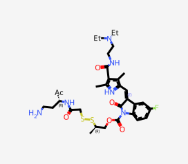 CCN(CC)CCNC(=O)c1c(C)[nH]c(/C=C2\C(=O)N(C(=O)OC[C@@H](C)SSCC(=O)N[C@H](CCN)C(C)=O)c3ccc(F)cc32)c1C